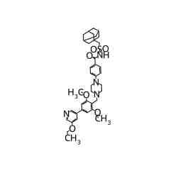 CCOc1cncc(-c2cc(OC)c(CN3CCN(c4ccc(C(=O)NS(=O)(=O)CC56CC7CC(CC(C7)C5)C6)cc4)CC3)c(OC)c2)c1